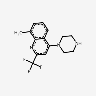 Cc1cccc2c(N3CCNCC3)cc(C(F)(F)F)nc12